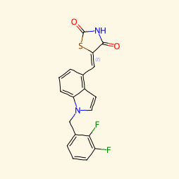 O=C1NC(=O)/C(=C/c2cccc3c2ccn3Cc2cccc(F)c2F)S1